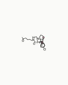 CCN1[C@@H](C(=O)NCCCCC(C)=O)C[C@]2(C(=O)Nc3cc(Cl)ccc32)C12CCCCC2